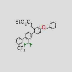 CCOC(=O)/C=C/c1cc(OCc2ccccc2)ccc1-c1ccc(-c2cccc(C(F)(F)F)c2)c(C(F)F)c1